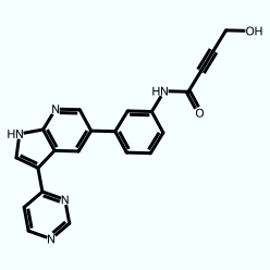 O=C(C#CCO)Nc1cccc(-c2cnc3[nH]cc(-c4ccncn4)c3c2)c1